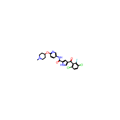 CN1CCC(Oc2ccc(NC(=O)c3cc(C(=O)c4c(Cl)ccc(Cl)c4F)c[nH]3)cn2)CC1